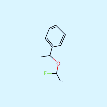 [CH2]C(F)OC(C)c1ccccc1